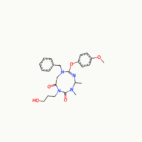 COc1ccc(O/C2=N/C(C)N(C)C(=O)N(CCCO)C(=O)CN2Cc2ccccc2)cc1